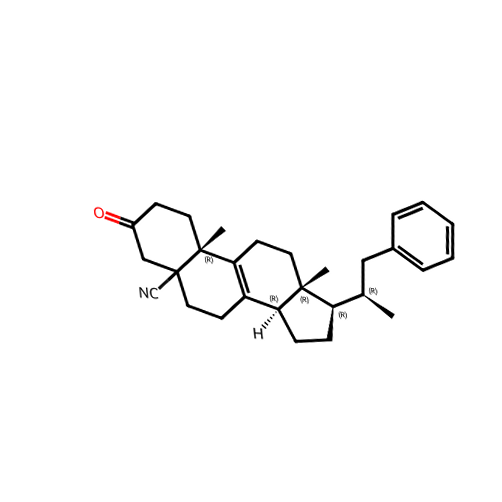 C[C@H](Cc1ccccc1)[C@H]1CC[C@H]2C3=C(CC[C@]12C)[C@@]1(C)CCC(=O)CC1(C#N)CC3